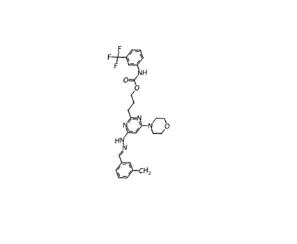 Cc1cccc(C=NNc2cc(N3CCOCC3)nc(CCCOC(=O)Nc3cccc(C(F)(F)F)c3)n2)c1